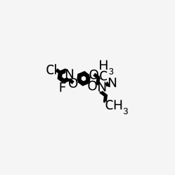 CCCCN(C#N)C(=O)C(C)Oc1ccc(Oc2ncc(Cl)cc2F)cc1